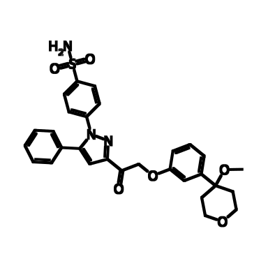 COC1(c2cccc(OCC(=O)c3cc(-c4ccccc4)n(-c4ccc(S(N)(=O)=O)cc4)n3)c2)CCOCC1